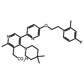 Cc1cc(F)ccc1CCOc1ccc(-c2cnc(C)c(CC(=O)O)c2N2CCC(C)(C)CC2)nc1